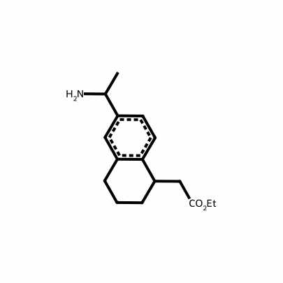 CCOC(=O)CC1CCCc2cc(C(C)N)ccc21